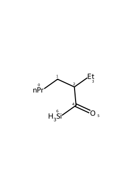 CCCCC(CC)C(=O)[SiH3]